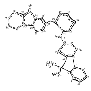 CC1(C)c2ccccc2-c2ccc(Nc3ccccc3-c3ccc4c(c3)oc3ccccc34)cc21